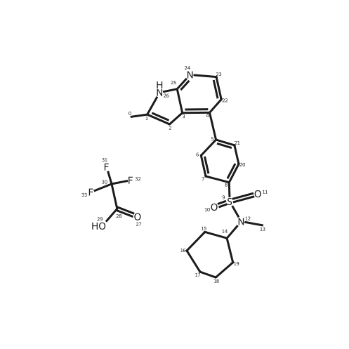 Cc1cc2c(-c3ccc(S(=O)(=O)N(C)C4CCCCC4)cc3)ccnc2[nH]1.O=C(O)C(F)(F)F